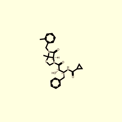 Cc1ccccc1CN1C(=O)[C@H]2N(C(=O)[C@@H](O)[C@H](Cc3ccccc3)NC(=O)C3CC3)CSC21C